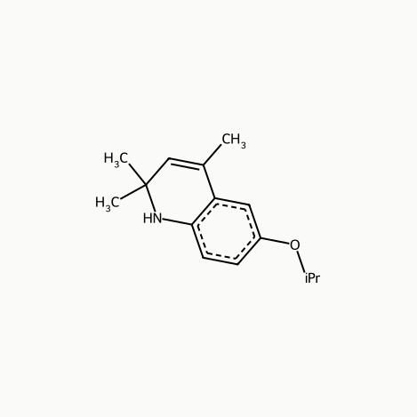 CC1=CC(C)(C)Nc2ccc(OC(C)C)cc21